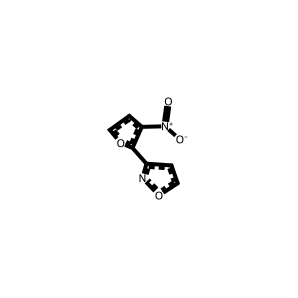 O=[N+]([O-])c1ccoc1-c1ccon1